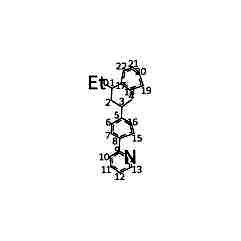 CCC(CC(C)c1ccc(-c2ccccn2)cc1)c1ccccc1